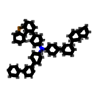 c1ccc(-c2cccc(-c3ccc(N(c4ccc(-c5cccc(-c6ccc7ccccc7c6)c5)cc4)c4ccc(-c5cccc6sc7ccccc7c56)cc4)cc3)c2)cc1